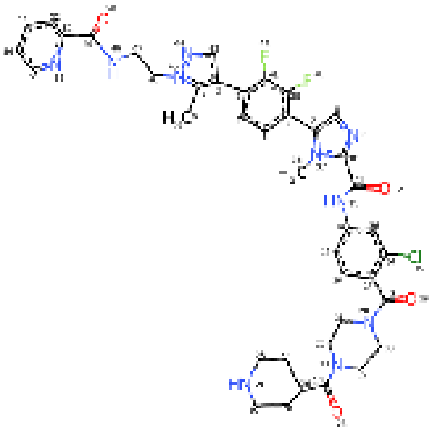 Cc1c(-c2ccc(-c3cnc(C(=O)Nc4ccc(C(=O)N5CCN(C(=O)C6CCNCC6)CC5)c(Cl)c4)n3C)c(F)c2F)cnn1CCNC(=O)c1ccccn1